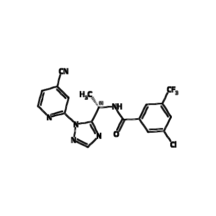 C[C@H](NC(=O)c1cc(Cl)cc(C(F)(F)F)c1)c1ncnn1-c1cc(C#N)ccn1